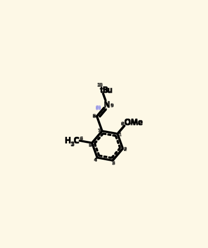 COc1cccc(C)c1/C=N/C(C)(C)C